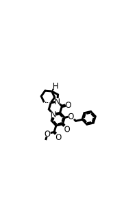 COC(=O)c1cn2c(c(OCc3ccccc3)c1=O)C(=O)N1C[C@H]3CCC[C@@]1(C3)C2